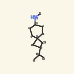 CNC1CCC2(CC1)CC(C(C)C)C2